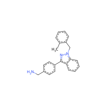 Cc1ccccc1Cn1nc(-c2ccc(CN)cc2)c2ccccc21